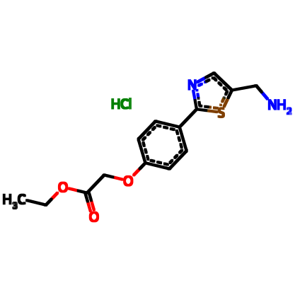 CCOC(=O)COc1ccc(-c2ncc(CN)s2)cc1.Cl